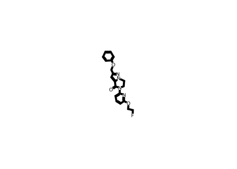 O=C1c2cc(COc3ccccc3)nn2CCN1c1cccc(OCCF)n1